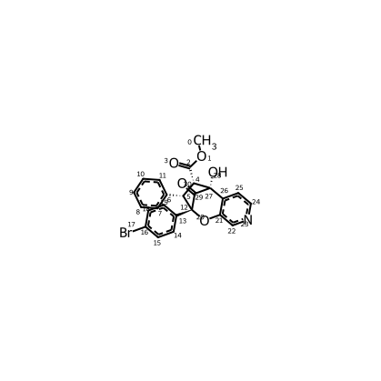 COC(=O)[C@H]1[C@@H](c2ccccc2)[C@@]2(c3ccc(Br)cc3)Oc3cnccc3[C@@]1(O)C2=O